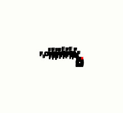 FC(C(F)(F)C1CC2C=CC1C2)C(F)(F)C(F)(F)C(F)(F)C(F)(F)C(F)(F)C(F)(F)C(F)(F)C(F)(F)F